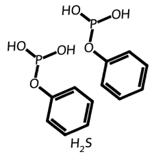 OP(O)Oc1ccccc1.OP(O)Oc1ccccc1.S